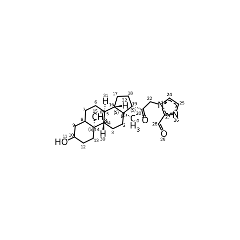 C[C@]12CC[C@H]3[C@@H](CCC4CC(O)CC[C@@]43C)[C@@H]1CC[C@@H]2C(=O)Cn1ccnc1C=O